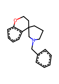 c1ccc(CN2CCCC3(CCOc4ccccc43)C2)cc1